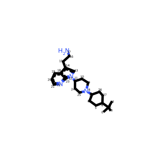 CC(C)(C)C1CCC(N2CCC(n3cc(CCN)c4cccnc43)CC2)CC1